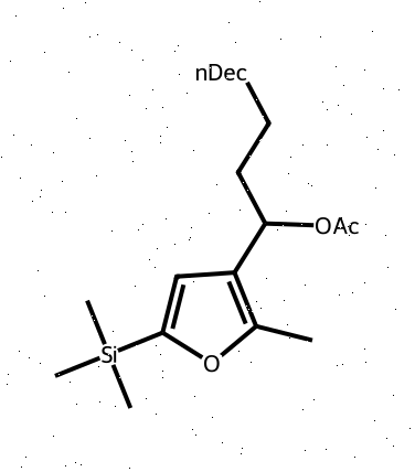 CCCCCCCCCCCCC(OC(C)=O)c1cc([Si](C)(C)C)oc1C